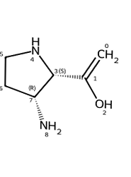 C=C(O)[C@H]1NCC[C@H]1N